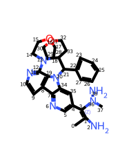 C/C(N)=C(\c1cnc2c3ccnc(N4CCOCC4)c3n(C(c3ccccc3)C3CCOCC3)c2c1)N(C)N